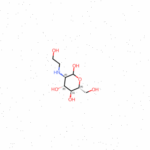 OCCN[C@H]1C(O)O[C@H](CO)[C@@H](O)[C@@H]1O